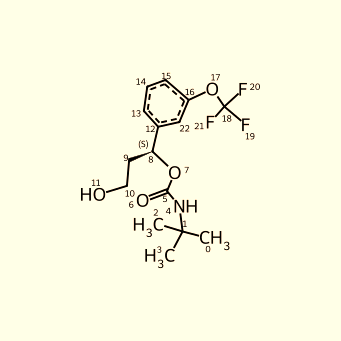 CC(C)(C)NC(=O)O[C@@H](CCO)c1cccc(OC(F)(F)F)c1